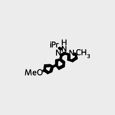 COc1ccc(-c2cccc(-c3nc(C(C)C)[nH]c3-c3cccc(C)n3)c2)cc1